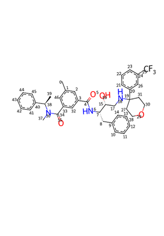 Cc1cc(C(=O)N[C@@H](Cc2ccccc2)[C@H](O)CNC2(c3cccc(C(F)(F)F)c3)CCOCC2)cc(C(=O)N(C)[C@H](C)c2ccccc2)c1